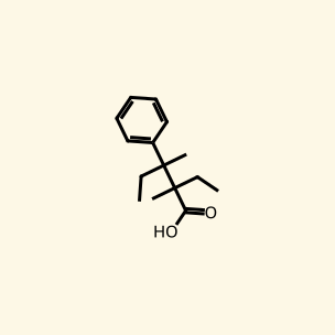 CCC(C)(C(=O)O)C(C)(CC)c1ccccc1